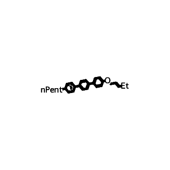 CC/C=C/COc1ccc(-c2ccc(C34CCC(CCCCC)(CC3)CC4)cc2)cc1